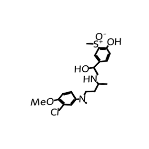 COc1ccc(N(C)CCC(C)NCC(O)c2ccc(O)c([S+](C)[O-])c2)cc1Cl